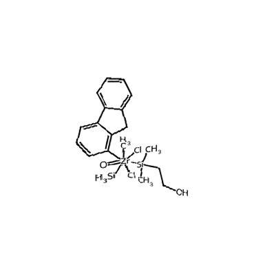 C[Si](C)(CCO)[Zr]([CH3])(=[O])([SiH3])([Cl])([Cl])[c]1cccc2c1Cc1ccccc1-2